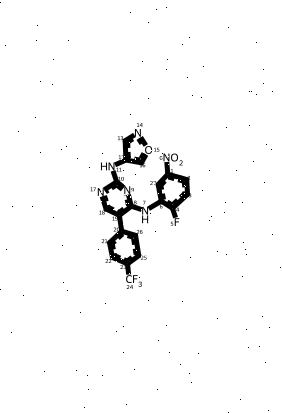 O=[N+]([O-])c1ccc(F)c(Nc2nc(Nc3cnoc3)ncc2-c2ccc(C(F)(F)F)cc2)c1